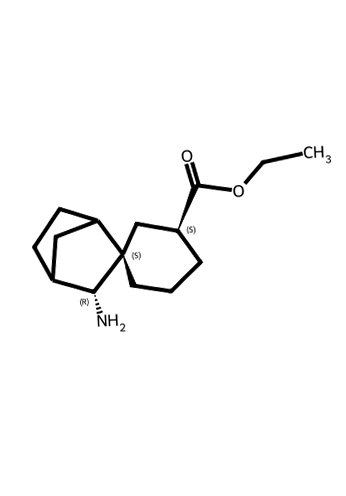 CCOC(=O)[C@H]1CCC[C@]2(C1)C1CCC(C1)[C@H]2N